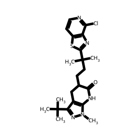 Cn1nc(C(C)(C)C)c2c1NC(=O)C(CCC(C)(C)c1nc3c(Cl)nccc3s1)C2